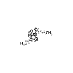 CCCCCCc1ccsc1-c1sc(-c2sccc2CCCCCC)c2c1C(=O)C(F)(F)C2=O